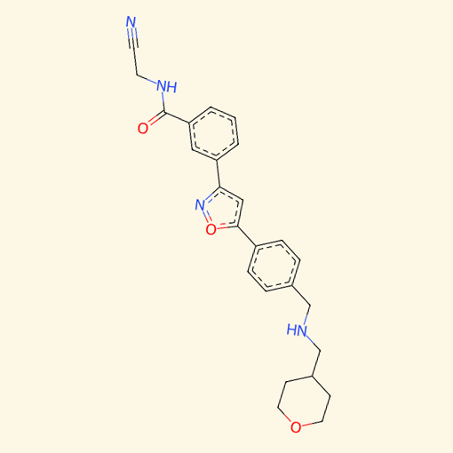 N#CCNC(=O)c1cccc(-c2cc(-c3ccc(CNCC4CCOCC4)cc3)on2)c1